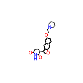 O=C1CC[C@@H](c2coc3cc4ccc(OCCN5CCCCC5)cc4cc23)C(=O)N1